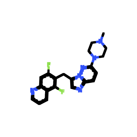 CN1CCN(c2ccc3ncc(Cc4c(F)cc5ncccc5c4F)n3n2)CC1